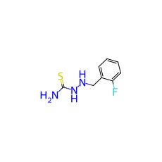 NC(=S)NNCc1ccccc1F